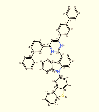 c1ccc(-c2ccc(-c3cc(-c4cccc(-c5ccccc5)c4)nc(-c4cccc5c4c4ccccc4n5-c4ccc5sc6ccccc6c5c4)n3)cc2)cc1